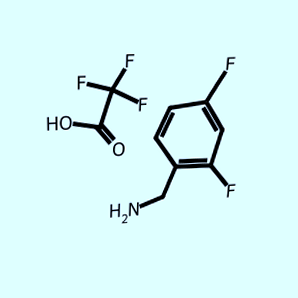 NCc1ccc(F)cc1F.O=C(O)C(F)(F)F